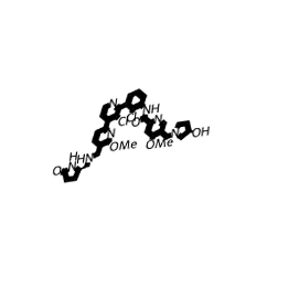 COc1cc(C(=O)Nc2cccc(-c3nccc(-c4ccc(CNC[C@H]5CCC(=O)N5)c(OC)n4)c3Cl)c2Cl)ncc1CN1CC[C@@H](O)C1